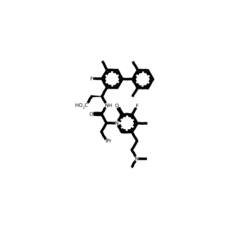 Cc1cc(-c2c(C)cccc2C)cc([C@H](CC(=O)O)NC(=O)C(CC(C)C)n2cc(CCN(C)C)c(C)c(F)c2=O)c1F